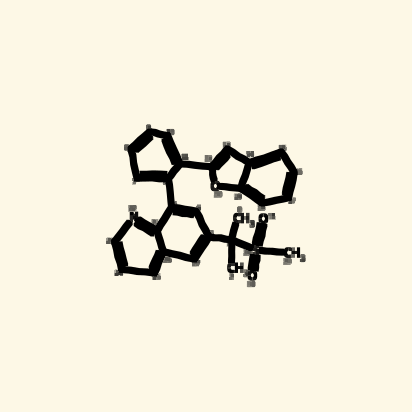 CC(C)(c1cc(-c2ccccc2-c2cc3ccccc3o2)c2ncccc2c1)S(C)(=O)=O